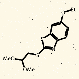 CCOc1ccc2nc(SCC(OC)OC)sc2c1